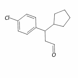 O=CCC(c1ccc(Cl)cc1)C1CCCC1